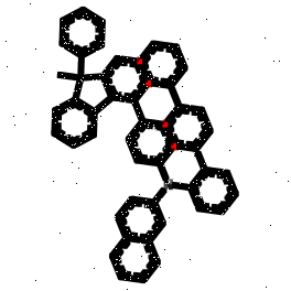 CC1(c2ccccc2)c2ccccc2-c2c(-c3ccc(N(c4ccc5ccccc5c4)c4ccccc4-c4ccc(-c5ccccc5)cc4)cc3)cccc21